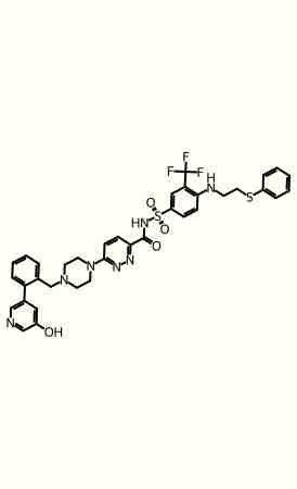 O=C(NS(=O)(=O)c1ccc(NCCSc2ccccc2)c(C(F)(F)F)c1)c1ccc(N2CCN(Cc3ccccc3-c3cncc(O)c3)CC2)nn1